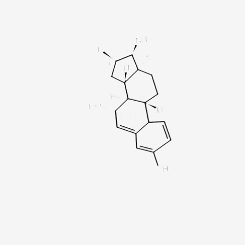 C[C@]12CC[C@H]3[C@@H]([C@@H](O)C=C4C=C(O)C=C[C@@]43C)[C@@H]1C[C@@H](F)[C@H]2N